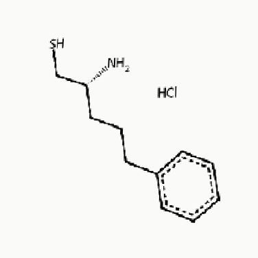 Cl.N[C@@H](CS)CCCc1ccccc1